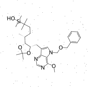 COc1ncnc2c(C[C@@H]3OC(C)(C)O[C@@H]3[C@H](C)CCC(C)(C)[Si](C)(C)O)cn(COCc3ccccc3)c12